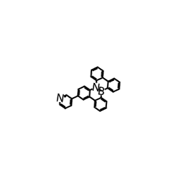 c1cncc(-c2ccc3c(c2)-c2ccccc2B2c4ccccc4-c4ccccc4N23)c1